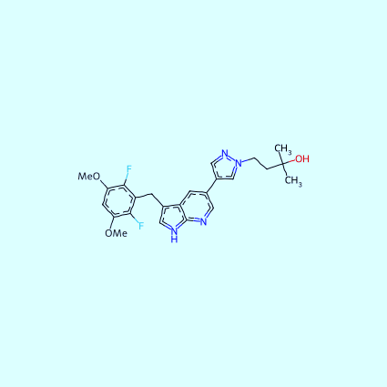 COc1cc(OC)c(F)c(Cc2c[nH]c3ncc(-c4cnn(CCC(C)(C)O)c4)cc23)c1F